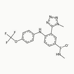 CN[S+]([O-])c1ccc(Nc2ccc(OC(F)(F)F)cc2)c(-c2nnnn2C)c1